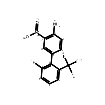 Nc1ccc(-c2c(F)cccc2C(F)(F)F)cc1[N+](=O)[O-]